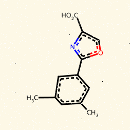 Cc1cc(C)cc(-c2nc(C(=O)O)co2)c1